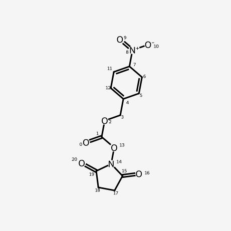 O=C(OCc1ccc([N+](=O)[O-])cc1)ON1C(=O)CCC1=O